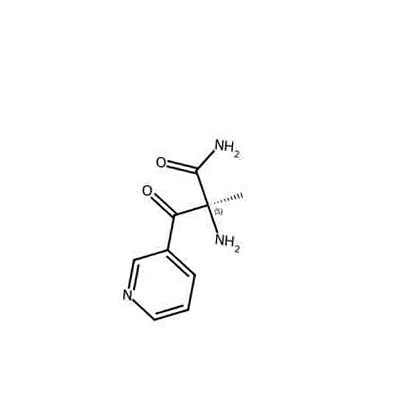 C[C@@](N)(C(N)=O)C(=O)c1cccnc1